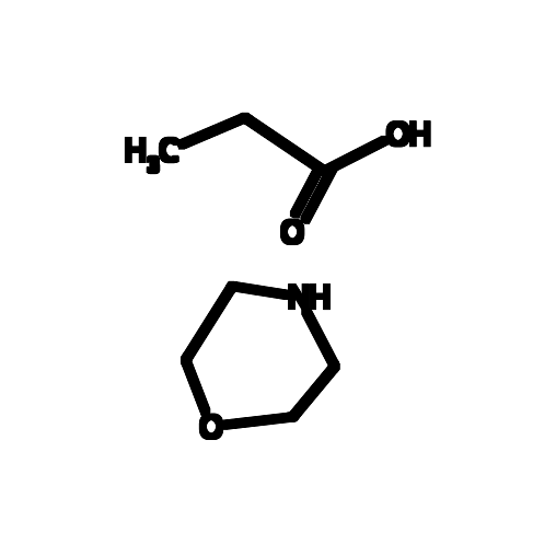 C1COCCN1.CCC(=O)O